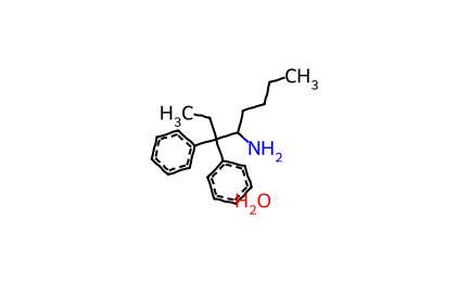 CCCCC(N)C(CC)(c1ccccc1)c1ccccc1.O